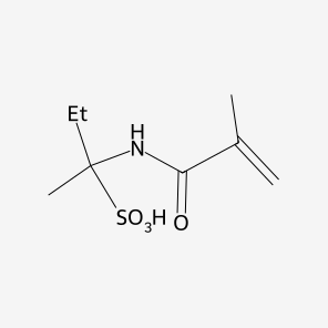 C=C(C)C(=O)NC(C)(CC)S(=O)(=O)O